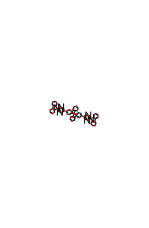 c1ccc(S(c2ccccc2)(c2ccc(-c3cnc(-n4c5ccccc5c5ccccc54)nc3)cc2)c2ccc(-c3cnc(-n4c5ccccc5c5ccccc54)nc3)cc2)cc1